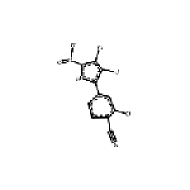 N#Cc1ccc(-c2[nH]c([N+](=O)[O-])c(Cl)c2Cl)cc1Cl